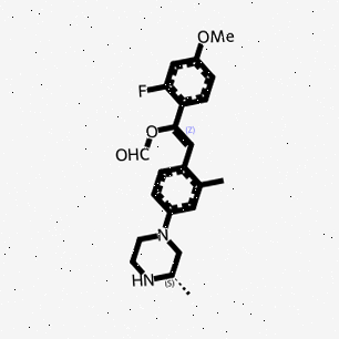 COc1ccc(/C(=C/c2ccc(N3CCN[C@@H](C)C3)cc2C)OC=O)c(F)c1